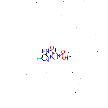 CC(C)(C)OC(=O)N1CCN2c3ncc(F)cc3NC(=O)[C@H]2C1